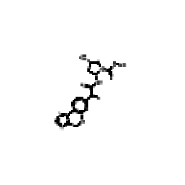 CC(C(=O)N[C@@H]1C[C@@H](O)CN1C(=O)OC(C)(C)C)c1ccc2c(c1)OCc1ncsc1-2